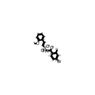 COc1ccccc1/C=C/S(=O)(=O)NC(=O)c1ccc(Br)cc1C